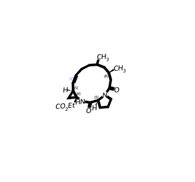 CCOC(=O)[C@@]12C[C@H]1/C=C\CCC(C)C[C@@H](C)CC(=O)N1CCC[C@H]1C(=O)N2